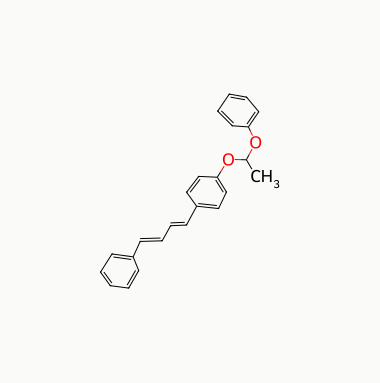 CC(Oc1ccccc1)Oc1ccc(C=CC=Cc2ccccc2)cc1